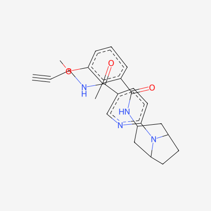 C#CCNC(=O)c1ccc(N2C3CCC2CC(NC(=O)c2cccc(OC)c2C)C3)nc1